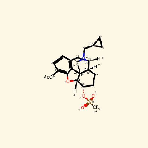 CC(=O)Oc1ccc2c3c1O[C@H]1[C@@H](OS(=O)(=O)C(F)(F)F)CC[C@H]4[C@@H](C2)N(CC2CC2)CC[C@@]341